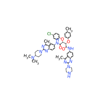 Cc1ccc(OC(C(=O)Nc2ccc3nc(N4CCNCC4)nc(C)c3c2)C(Oc2ccc(Cl)cc2)C(=O)Nc2ccc3nc(N4CCC(N(C)C)CC4)nc(C)c3c2)cc1